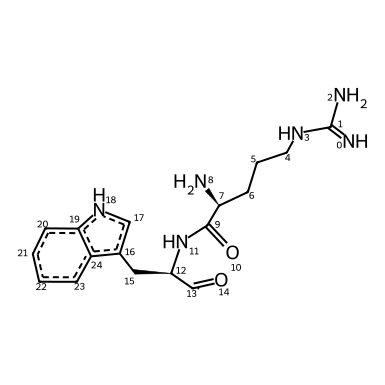 N=C(N)NCCC[C@H](N)C(=O)N[C@@H]([C]=O)Cc1c[nH]c2ccccc12